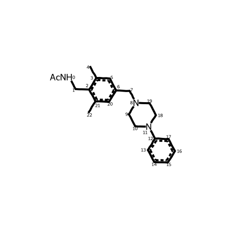 CC(=O)NCc1c(C)cc(CN2CCN(c3ccccc3)CC2)cc1C